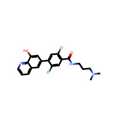 CN(C)CCCNC(=O)c1cc(Cl)c(-c2cc(O)c3ncccc3c2)cc1Cl